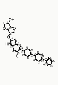 O[C@@H]1COC2C1OC[C@H]2Oc1nc2nc(-c3ccc(-c4ccc(-c5ncc[nH]5)nc4)cc3)c(Cl)cc2[nH]1